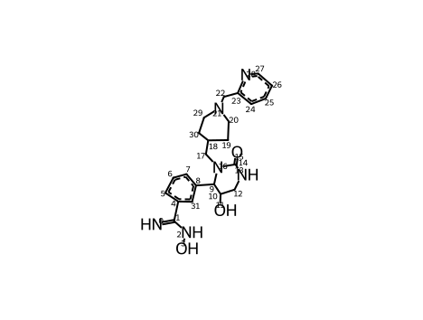 N=C(NO)c1cccc(C2C(O)CNC(=O)N2CC2CCN(Cc3ccccn3)CC2)c1